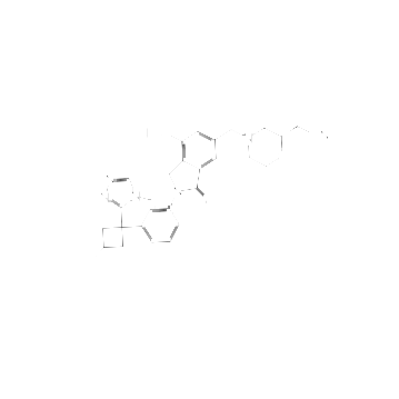 CC1CC(c2cccc(N3Cc4c(cc(CN5CCO[C@H](CC#N)C5)cc4C(F)(F)F)C3=O)c2)(c2nncn2C)C1